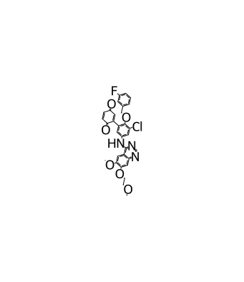 COCCOc1cc2ncnc(Nc3cc(Cl)c(OCc4cccc(F)c4)c(C4=CC(=O)C=CC4=O)c3)c2cc1OC